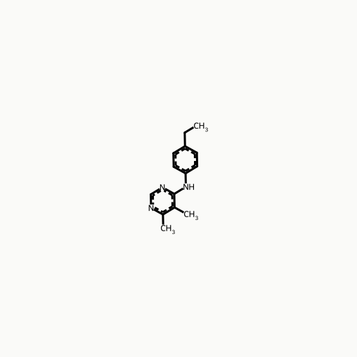 CCc1ccc(Nc2ncnc(C)c2C)cc1